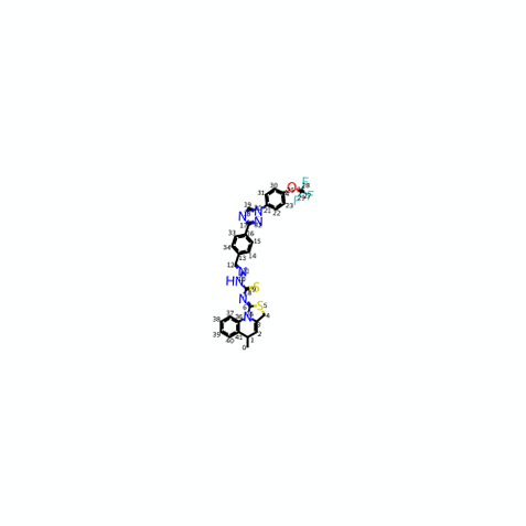 CC1C=C2CS/C(=N\C(=S)N/N=C/c3ccc(-c4ncn(-c5ccc(OC(F)(F)F)cc5)n4)cc3)N2c2ccccc21